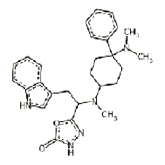 CN(C1CCC(c2ccccc2)(N(C)C)CC1)C(Cc1c[nH]c2ccccc12)c1n[nH]c(=O)o1